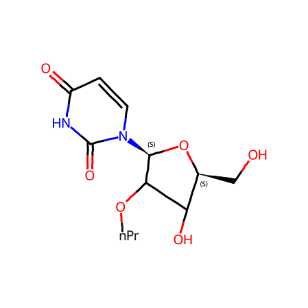 CCCOC1C(O)[C@H](CO)O[C@@H]1n1ccc(=O)[nH]c1=O